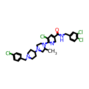 CC1CN(C2CCN(Cc3ccc(Cl)cc3)CC2)CCN1c1ncc(C(=O)NCc2ccc(Cl)c(Cl)c2)cc1Cl